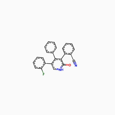 N#Cc1ccccc1-c1c(-c2ccccc2)c(-c2ccccc2F)c[nH]c1=O